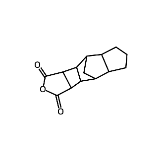 O=C1OC(=O)C2C1C1C3CC(C4CCCC43)C21